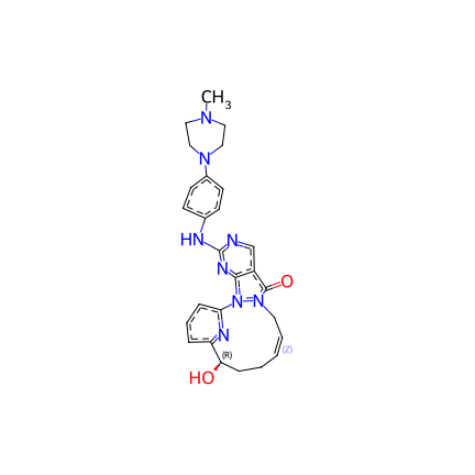 CN1CCN(c2ccc(Nc3ncc4c(=O)n5n(c4n3)-c3cccc(n3)[C@H](O)CC/C=C\C5)cc2)CC1